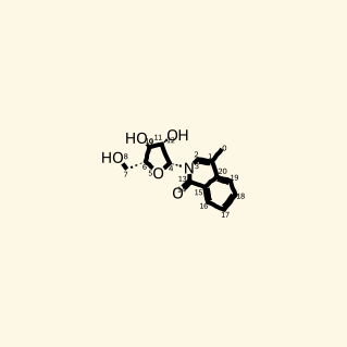 Cc1cn([C@@H]2O[C@H](CO)[C@@H](O)[C@@H]2O)c(=O)c2ccccc12